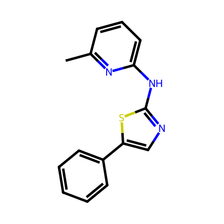 Cc1cccc(Nc2ncc(-c3ccccc3)s2)n1